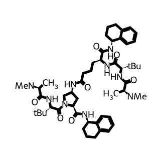 CN[C@@H](C)C(=O)N[C@H](C(=O)N[C@@H](CCCC(=O)N[C@H]1C[C@@H](C(=O)N[C@@H]2CCCc3ccccc32)N(C(=O)[C@@H](NC(=O)[C@H](C)NC)C(C)(C)C)C1)C(=O)N[C@@H]1CCCc2ccccc21)C(C)(C)C